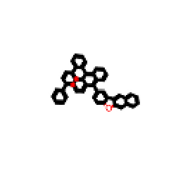 c1ccc(-c2ccc(-c3ccccc3-c3c4ccccc4c(-c4ccc5oc6cc7ccccc7cc6c5c4)c4ccccc34)cc2)cc1